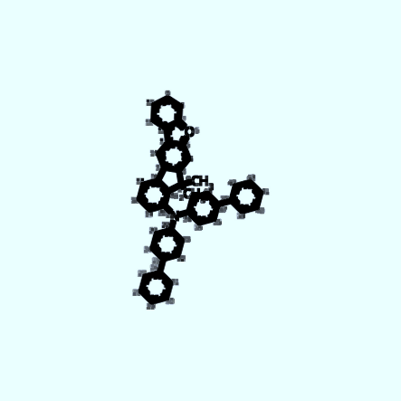 CC1(C)c2cc3oc4ccccc4c3cc2-c2cccc(N(c3ccc(-c4ccccc4)cc3)c3ccc(-c4ccccc4)cc3)c21